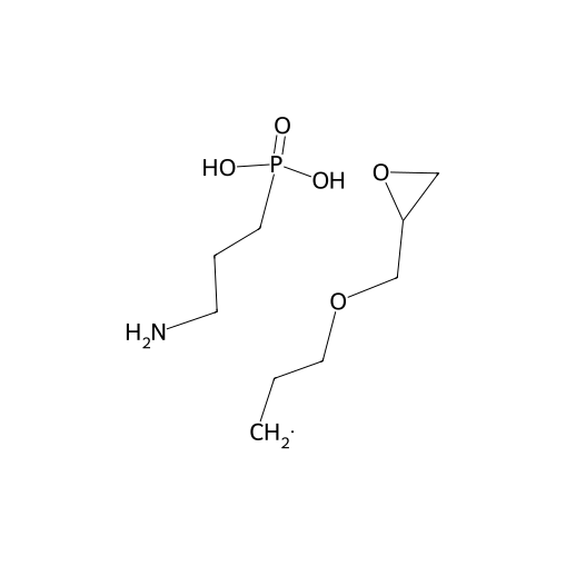 NCCCP(=O)(O)O.[CH2]CCOCC1CO1